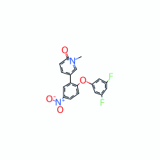 Cn1cc(-c2cc([N+](=O)[O-])ccc2Oc2cc(F)cc(F)c2)ccc1=O